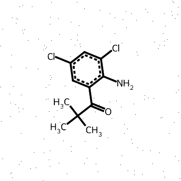 CC(C)(C)C(=O)c1cc(Cl)cc(Cl)c1N